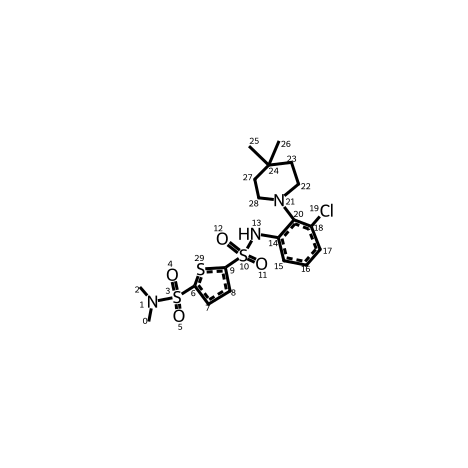 CN(C)S(=O)(=O)c1ccc(S(=O)(=O)Nc2cccc(Cl)c2N2CCC(C)(C)CC2)s1